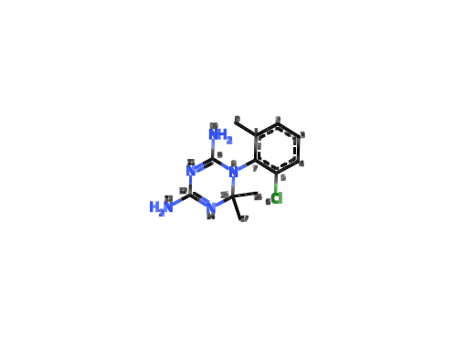 Cc1cccc(Cl)c1N1C(N)=NC(N)=NC1(C)C